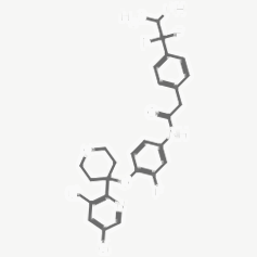 CC(O)C(F)(F)c1ccc(CC(=O)Nc2ccc(OC3(c4ncc(Cl)cc4Cl)CCOCC3)c(F)c2)cc1